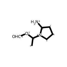 CC(OC=O)N1CCCC1N